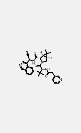 CC(C)(C)[C@H](NC(=O)Cc1cccnc1)C(=O)N1C[C@H]2[C@@H]([C@H]1C(=O)NC(C#N)c1nncc3ccccc13)C2(C)C